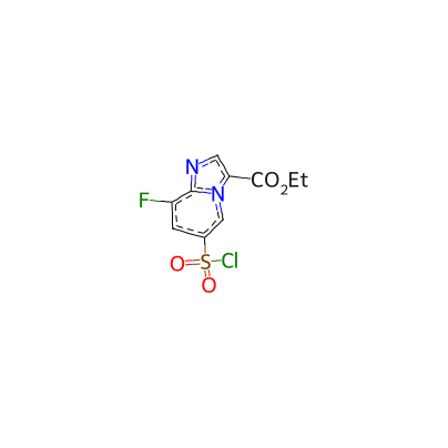 CCOC(=O)c1cnc2c(F)cc(S(=O)(=O)Cl)cn12